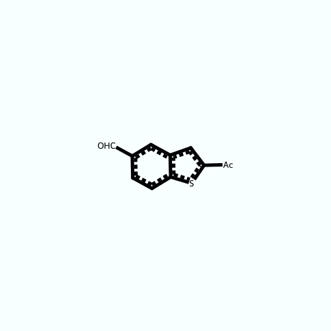 CC(=O)c1cc2cc(C=O)ccc2s1